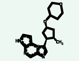 C[C@@H]1C[C@H](OC2CCOCC2)C[C@@H]1c1cnc2cnc3[nH]ccc3n12